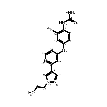 NC(=O)Nc1ccc(Oc2ccnc(-c3cnn(CCO)c3)c2)cc1F